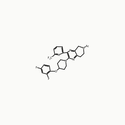 CC(=O)N1CCc2nc(N3CCC(Oc4ccc(F)cc4F)CC3)c(-c3cccc(C(F)(F)F)n3)nc2C1